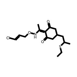 CCSC(C)CC1CC(=O)C(=C(C)NOCC=CCl)C(=O)C1